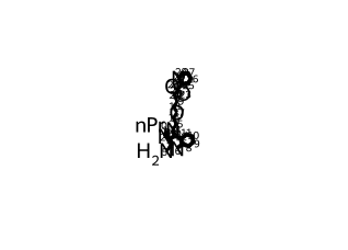 CCCc1nc2c(N)nc3ccccc3c2n1CCOCCCS(=O)(=O)c1ccccn1